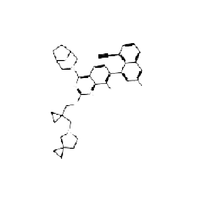 C#Cc1cccc2cc(O)cc(-c3ccc4c(N5CC6CCC(C5)N6)nc(OCC5(CN6CCC7(CC7)C6)CC5)nc4c3F)c12